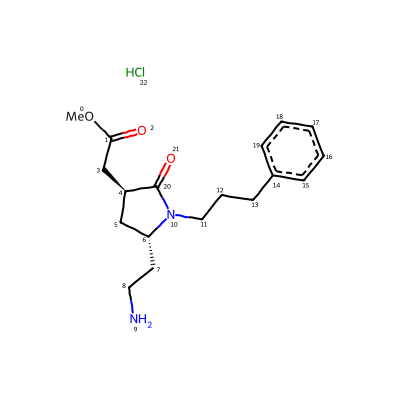 COC(=O)C[C@@H]1C[C@@H](CCN)N(CCCc2ccccc2)C1=O.Cl